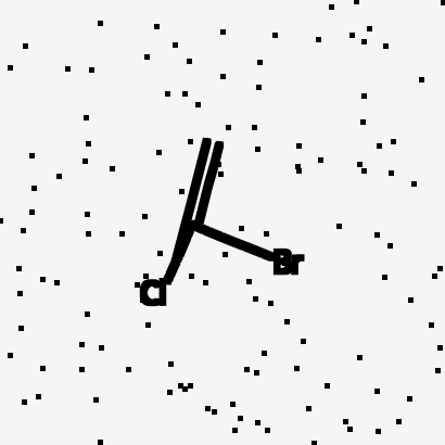 C=C(Cl)Br